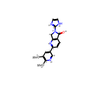 COc1cc(-c2ccc3c(n2)CN(c2ncc[nH]2)C3=O)cnc1OC